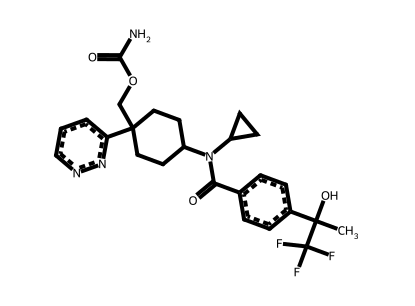 CC(O)(c1ccc(C(=O)N(C2CC2)C2CCC(COC(N)=O)(c3cccnn3)CC2)cc1)C(F)(F)F